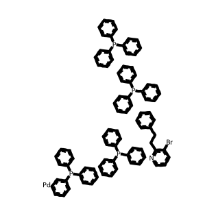 Brc1cccnc1CCc1ccccc1.[Pd].c1ccc(P(c2ccccc2)c2ccccc2)cc1.c1ccc(P(c2ccccc2)c2ccccc2)cc1.c1ccc(P(c2ccccc2)c2ccccc2)cc1.c1ccc(P(c2ccccc2)c2ccccc2)cc1